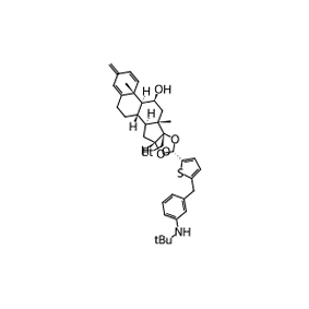 C=C1C=C[C@@]2(C)C(=C1)CC[C@@H]1[C@@H]2[C@@H](O)C[C@@]2(C)[C@H]1C[C@H]1O[C@@H](c3ccc(Cc4cccc(NC(C)(C)C)c4)s3)O[C@]12C(=O)CC